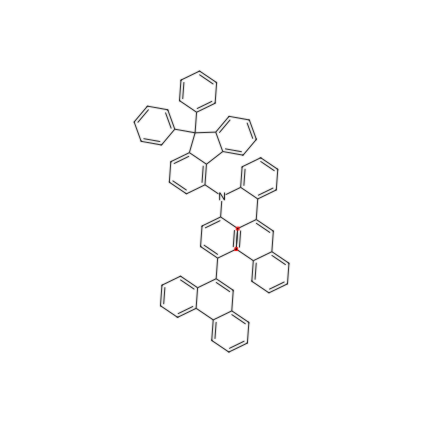 c1ccc(C2(c3ccccc3)c3ccccc3-c3c(N(c4ccc(-c5cc6ccccc6c6ccccc56)cc4)c4ccccc4-c4ccc5ccccc5c4)cccc32)cc1